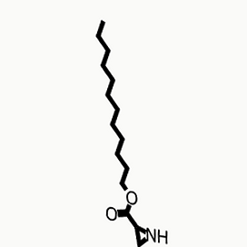 CCCCCCCCCCCCOC(=O)C1CN1